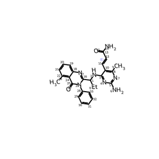 CCC(Nc1nc(N)nc(C)c1/C=C/C(N)=O)c1nc2cccc(C)c2c(=O)n1-c1ccccc1